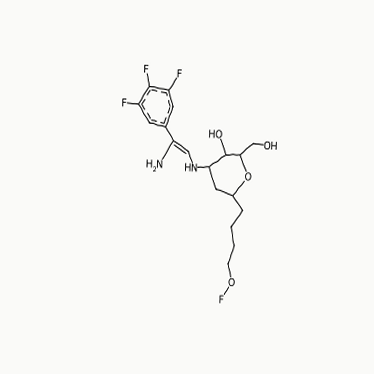 N/C(=C\NC1CC(CCCCOF)OC(CO)C1O)c1cc(F)c(F)c(F)c1